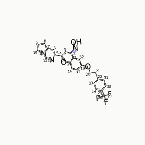 O/N=c1\cc(-c2cc3cccn3cn2)oc2ccc(OCCc3ccc(C(F)(F)F)cc3)cc12